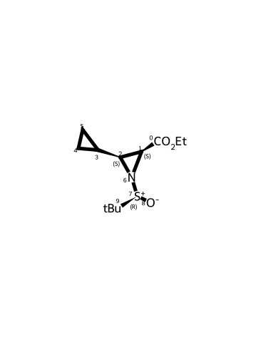 CCOC(=O)[C@@H]1[C@H](C2CC2)N1[S@@+]([O-])C(C)(C)C